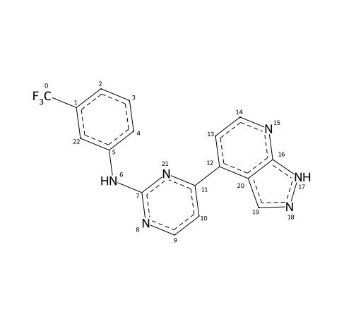 FC(F)(F)c1cccc(Nc2nccc(-c3ccnc4[nH]ncc34)n2)c1